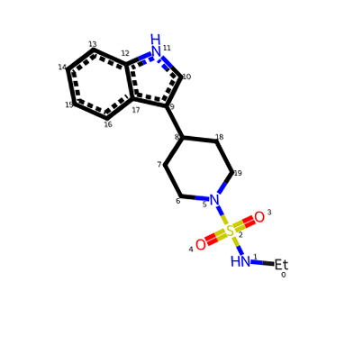 CCNS(=O)(=O)N1CCC(c2c[nH]c3ccccc23)CC1